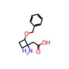 NC1(CC(=O)O)CCC1OCc1ccccc1